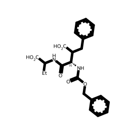 CCC(NC(=O)[C@@H](NC(=O)OCc1ccccc1)C(Cc1ccccc1)C(=O)O)C(=O)O